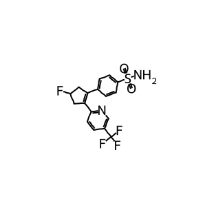 NS(=O)(=O)c1ccc(C2=C(c3ccc(C(F)(F)F)cn3)CC(F)C2)cc1